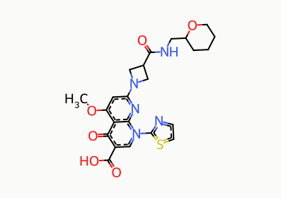 COc1cc(N2CC(C(=O)NCC3CCCCO3)C2)nc2c1c(=O)c(C(=O)O)cn2-c1nccs1